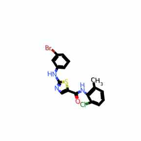 Cc1cccc(Cl)c1NC(=O)c1cnc(Nc2cccc(Br)c2)s1